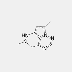 Cc1cc2c3c(ncnn13)CN(C)N2